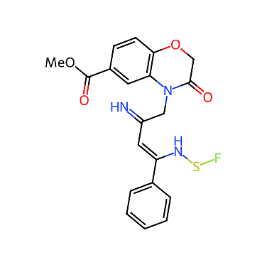 COC(=O)c1ccc2c(c1)N(CC(=N)/C=C(\NSF)c1ccccc1)C(=O)CO2